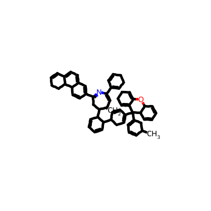 C=C1C=C(C2=CCCC=C2)N=C(C2=CC3=CC=C4C=CCCC4C3C=C2)CC1C1C=CC=CC1C1C=CC(C2(C3=CC=CC(C)C3)C3=CCCC=C3OC3C=CC=CC32)=CC1